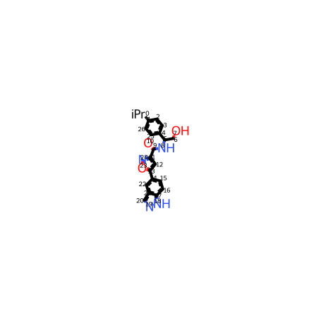 CC(C)c1ccc(C(CO)NC(=O)c2cc(-c3ccc4[nH]ncc4c3)on2)cc1